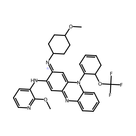 COc1ncccc1Nc1cc2nc3ccccc3n(C3=CC=CCC3OC(F)(F)F)c-2c/c1=N\C1CCC(OC)CC1